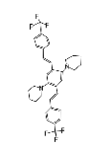 FC(F)(F)c1ccc(/C=C/c2cc(N3CCCCC3)c(/C=C/c3ccc(C(F)(F)F)cc3)cc2N2CCCCC2)cc1